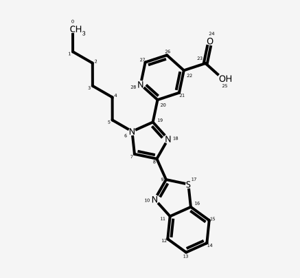 CCCCCCn1cc(-c2nc3ccccc3s2)nc1-c1cc(C(=O)O)ccn1